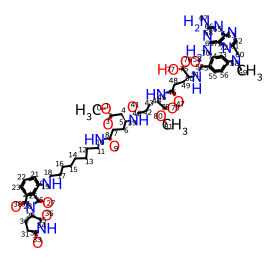 COC(=O)C[C@H](CCC(=O)NCCCCCCCCNc1cccc2c1C(=O)N(C1CCC(=O)NC1=O)C2=O)NC(=O)CC[C@H](NC(=O)CC[C@H](NC(=O)c1ccc(N(C)Cc2cnc3nc(N)nc(N)c3n2)cc1)C(=O)O)C(=O)OC